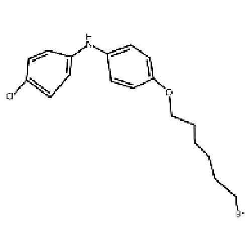 Clc1ccc(Nc2ccc(OCCCCCCBr)cc2)cc1